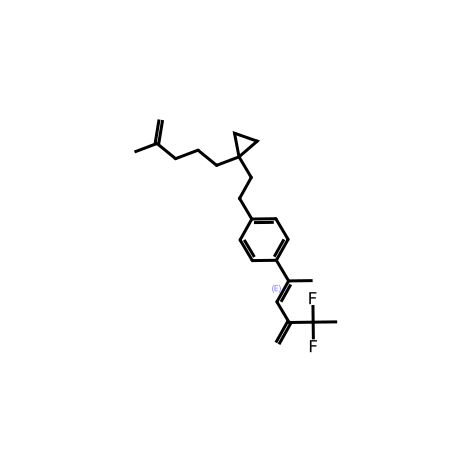 C=C(C)CCCC1(CCc2ccc(/C(C)=C/C(=C)C(C)(F)F)cc2)CC1